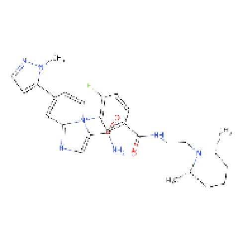 C[C@@H]1CCC[C@H](C)N1CCNC(=O)c1ccc(F)c([N+]23C=CC(c4ccnn4C)=CC2=NC=C3C(N)=O)c1